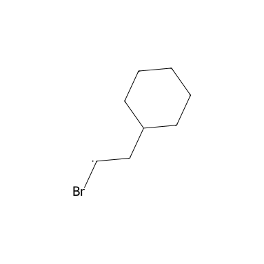 Br[CH]CC1CCCCC1